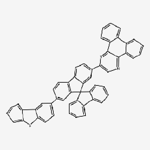 c1ccc2c(c1)-c1ccccc1C21c2cc(-c3ccc4sc5ccccc5c4c3)ccc2-c2ccc(-c3cnc4c5ccccc5c5ccccc5c4n3)cc21